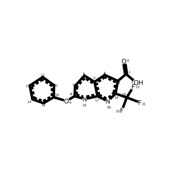 O=C(O)c1cc2ccc(Oc3ccccc3)nc2nc1C(F)(F)F